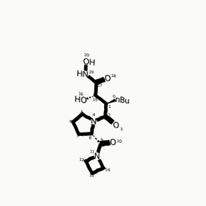 CCCC[C@@H](C(=O)N1CCC[C@H]1C(=O)N1CCC1)[C@H](O)C(=O)NO